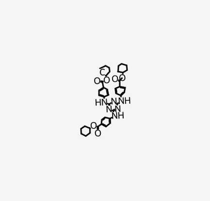 O=C(OC1CCCCC1)c1ccc(Nc2nc(Nc3ccc(C(=O)OC4CCCCC4)cc3)nc(Nc3ccc(C(=O)OC4CCCCC4)cc3)n2)cc1